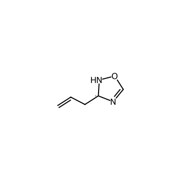 C=CC[C]1N=CON1